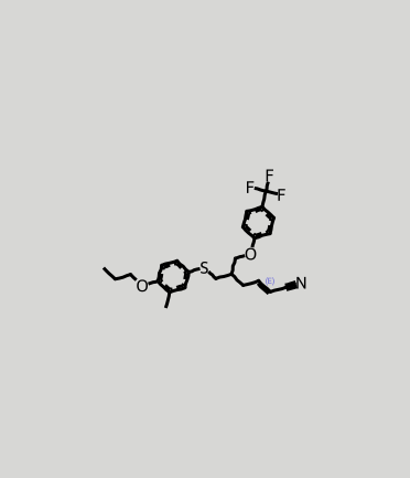 CCCOc1ccc(SCC(C/C=C/C#N)COc2ccc(C(F)(F)F)cc2)cc1C